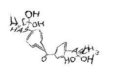 CC(O)(O)[AsH]c1ccc(C(=O)c2ccc([AsH]C(C)(O)O)cc2)cc1